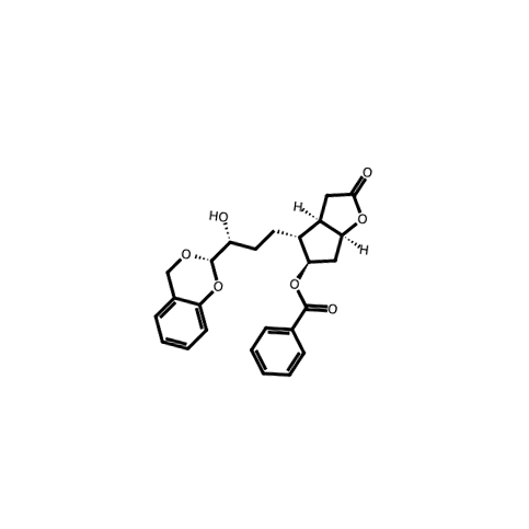 O=C1C[C@@H]2[C@@H](CC[C@@H](O)[C@H]3OCc4ccccc4O3)[C@H](OC(=O)c3ccccc3)C[C@@H]2O1